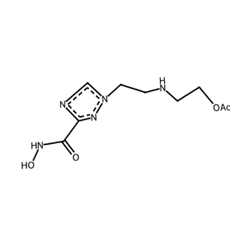 CC(=O)OCCNCCn1cnc(C(=O)NO)n1